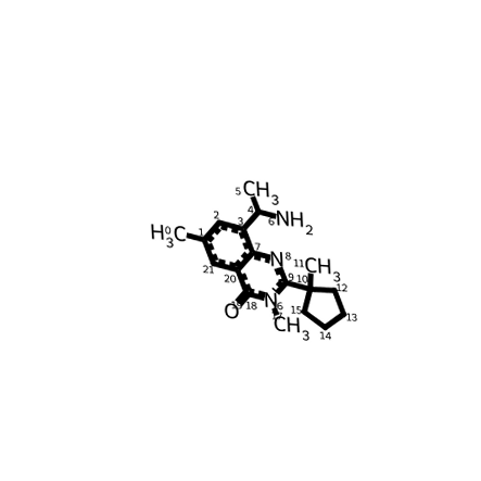 Cc1cc(C(C)N)c2nc(C3(C)CCCC3)n(C)c(=O)c2c1